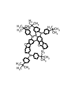 CC(C)(C)c1ccc(N2B3c4cc(C(C)(C)C)ccc4N(c4ccc(C(C)(C)C)cc4)c4cc5c(oc6ccccc65)c(c43)-c3cc4c(cc32)oc2ccc(N(c3ccc(C(C)(C)C)cc3)c3ccc(C(C)(C)C)cc3)cc24)cc1